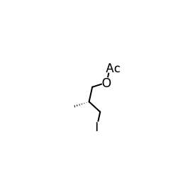 CC(=O)OC[C@@H](C)CI